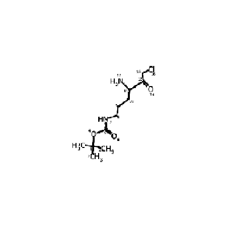 CC(C)(C)OC(=O)NCCCC(N)C(=O)CCl